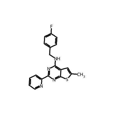 Cc1cc2c(NCc3ccc(F)cc3)nc(-c3ccccn3)nc2s1